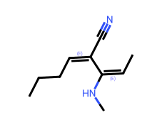 C/C=C(NC)\C(C#N)=C/CCC